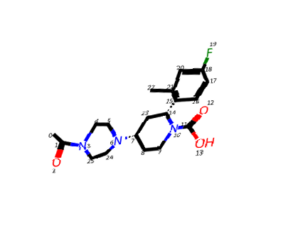 CC(=O)N1CCN([C@H]2CCN(C(=O)O)[C@@H](c3ccc(F)cc3C)C2)CC1